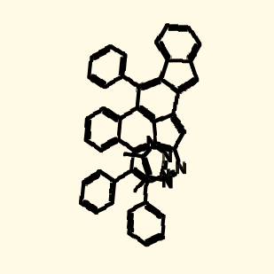 Cc1nnc2c(c1C)-c1c(-c3ccccc3-c3nnnc(-c4ccccc4)c3-c3ccccc3)c(-c3ccccc3)c3c(c1=C2)=Cc1ccccc1-3